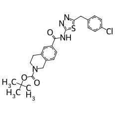 CC(C)(C)OC(=O)N1CCc2cc(C(=O)Nc3nnc(Cc4ccc(Cl)cc4)s3)ccc2C1